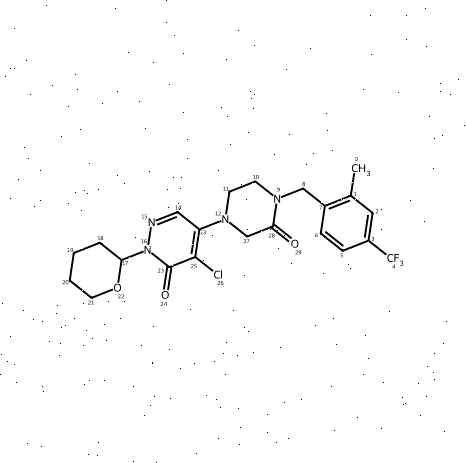 Cc1cc(C(F)(F)F)ccc1CN1CCN(c2cnn(C3CCCCO3)c(=O)c2Cl)CC1=O